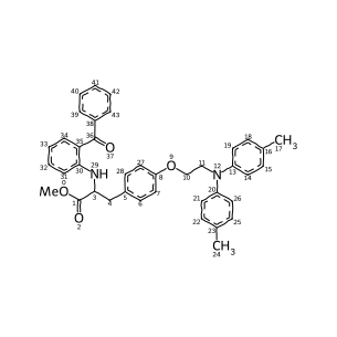 COC(=O)C(Cc1ccc(OCCN(c2ccc(C)cc2)c2ccc(C)cc2)cc1)Nc1ccccc1C(=O)c1ccccc1